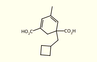 CC1=CC(CC2CCC2)(C(=O)O)CC(C(=O)O)=C1